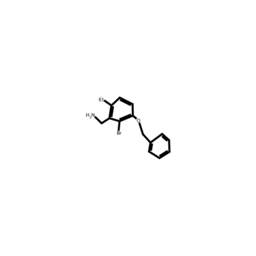 C[CH]c1ccc(OCc2ccccc2)c(Br)c1CN